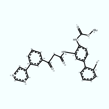 CC(C)(C)OC(=O)Nc1ccc(-c2ccccc2F)cc1NC(=O)CC(=O)c1cccc(-c2cncnc2)c1